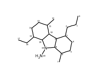 CCCC1CCC(C)C2C1C1C(C)CCC(CC)C1N2N